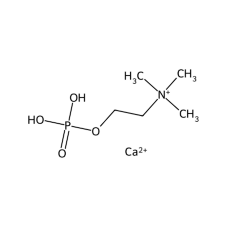 C[N+](C)(C)CCOP(=O)(O)O.[Ca+2]